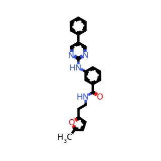 Cc1ccc(CCNC(=O)c2cccc(Nc3ncc(-c4ccccc4)cn3)c2)o1